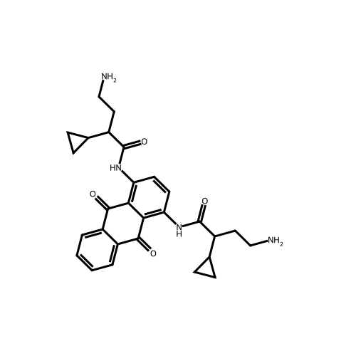 NCCC(C(=O)Nc1ccc(NC(=O)C(CCN)C2CC2)c2c1C(=O)c1ccccc1C2=O)C1CC1